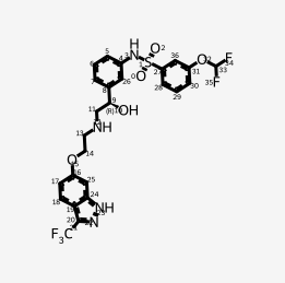 O=S(=O)(Nc1cccc([C@@H](O)CNCCOc2ccc3c(C(F)(F)F)n[nH]c3c2)c1)c1cccc(OC(F)F)c1